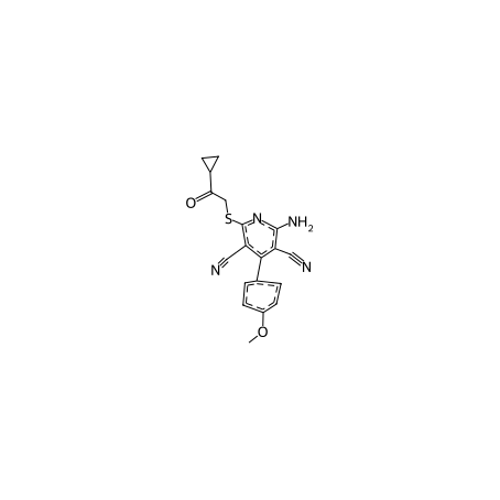 COc1ccc(-c2c(C#N)c(N)nc(SCC(=O)C3CC3)c2C#N)cc1